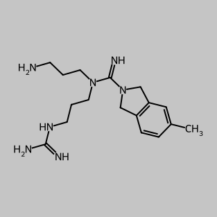 Cc1ccc2c(c1)CN(C(=N)N(CCCN)CCCNC(=N)N)C2